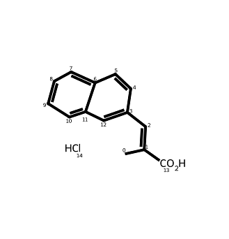 CC(=Cc1ccc2ccccc2c1)C(=O)O.Cl